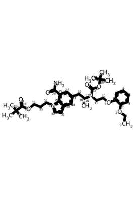 CCOc1ccccc1OCCN(C(=O)OC(C)(C)C)[C@H](C)Cc1cc(C(N)=O)c2c(ccn2CCCOC(=O)C(C)(C)C)c1